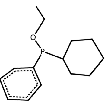 CCOP(c1ccccc1)C1CCCCC1